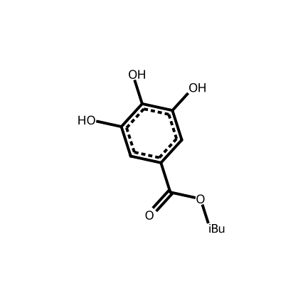 CCC(C)OC(=O)c1cc(O)c(O)c(O)c1